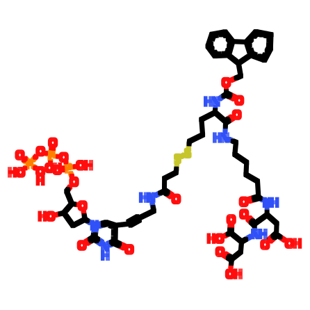 O=C(O)CC(NC(=O)C(CC(=O)O)NC(=O)CCCCCNC(=O)C(CCCSSCCC(=O)NCC#Cc1cn(C2CC(O)C(COP(=O)(O)OP(=O)(O)OP(=O)(O)O)O2)c(=O)[nH]c1=O)NC(=O)OCC1c2ccccc2-c2ccccc21)C(=O)O